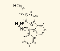 N#CC(c1ccccc1)(c1ccccc1)c1cccc(CCO)c1N